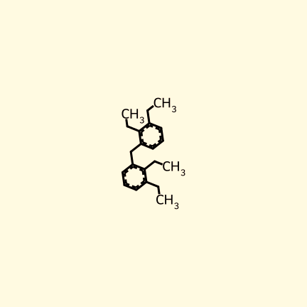 CCc1cccc(Cc2cccc(CC)c2CC)c1CC